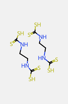 S=C(S)NCCNC(=S)S.S=C(S)NCCNC(=S)S